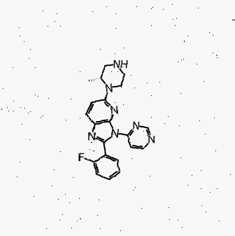 C[C@@H]1CNCCN1c1ccc2nc(-c3ccccc3F)n(-c3ccncn3)c2n1